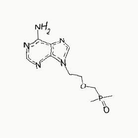 CP(C)(=O)COCCn1cnc2c(N)ncnc21